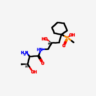 C[C@H](O)C(N)C(=O)NC[C@H](O)CC1(P(C)(=O)O)CCCCC1